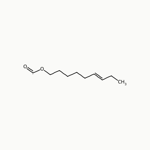 CC/C=C/CCCCCO[C]=O